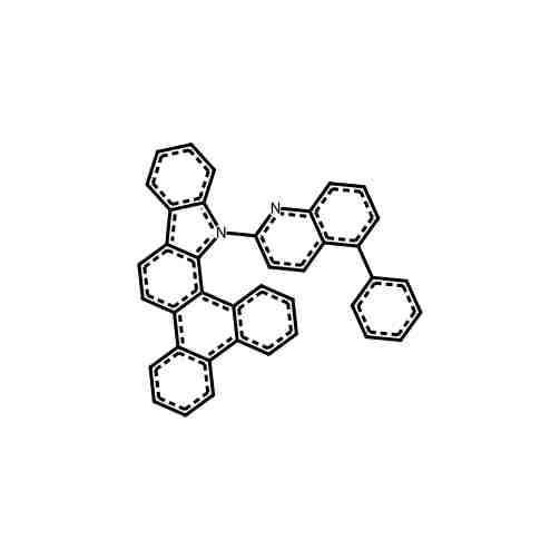 c1ccc(-c2cccc3nc(-n4c5ccccc5c5ccc6c7ccccc7c7ccccc7c6c54)ccc23)cc1